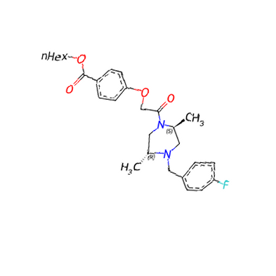 CCCCCCOC(=O)c1ccc(OCC(=O)N2C[C@@H](C)N(Cc3ccc(F)cc3)C[C@@H]2C)cc1